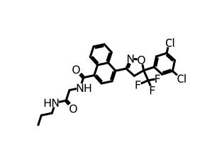 CCCNC(=O)CNC(=O)c1ccc(C2=NOC(c3cc(Cl)cc(Cl)c3)(C(F)(F)F)C2)c2ccccc12